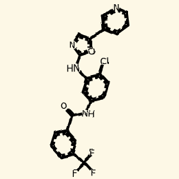 O=C(Nc1ccc(Cl)c(Nc2ncc(-c3cccnc3)o2)c1)c1cccc(C(F)(F)F)c1